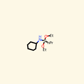 CCC[Si](NC1CCCCC1)(OCC)OCC